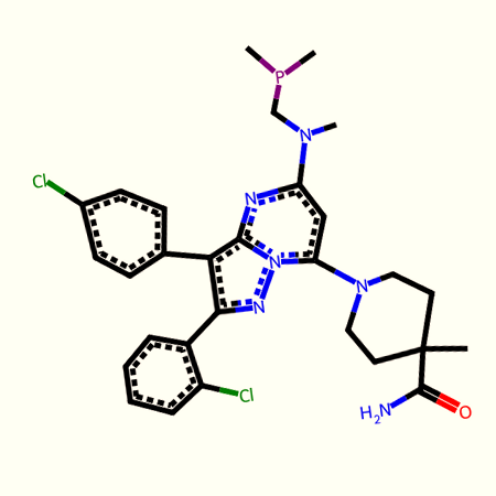 CN(CP(C)C)c1cc(N2CCC(C)(C(N)=O)CC2)n2nc(-c3ccccc3Cl)c(-c3ccc(Cl)cc3)c2n1